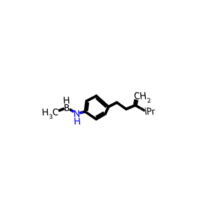 C=C(CCc1ccc(NBC)cc1)C(C)C